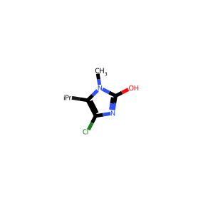 CC(C)c1c(Cl)nc(O)n1C